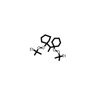 CCC(C)(C)OOC1(C(C)C2(OOC(C)(C)CC)CCCCC2)CCCCC1